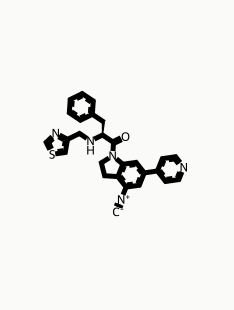 [C-]#[N+]c1cc(-c2ccncc2)cc2c1CCN2C(=O)[C@H](Cc1ccccc1)NCc1cscn1